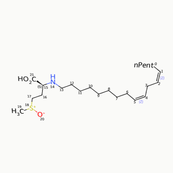 CCCCC/C=C\C/C=C\CCCCCCCCN[C@@H](CC[S+](C)[O-])C(=O)O